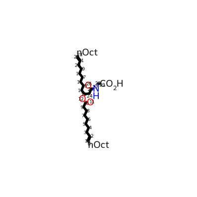 CCCCCCCC/C=C/CCCCCCCC(=O)OC(CCCCCCC/C=C/CCCCCCCC)CC(=O)NCC(=O)O